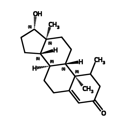 CC1CC(=O)C=C2CC[C@H]3[C@@H]4CC[C@H](O)[C@@]4(C)CC[C@@H]3[C@]21C